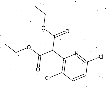 CCOC(=O)C(C(=O)OCC)c1nc(Cl)ccc1Cl